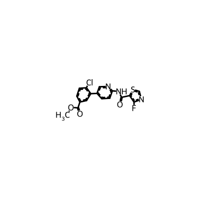 COC(=O)c1ccc(Cl)c(-c2ccc(NC(=O)c3scnc3F)nc2)c1